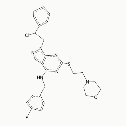 Fc1ccc(CNc2nc(SCCN3CCOCC3)nc3c2cnn3CC(Cl)c2ccccc2)cc1